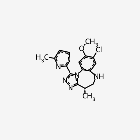 COc1cc2c(cc1Cl)NC[C@@H](C)c1nnc(-c3cccc(C)n3)n1-2